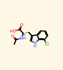 CC(=O)N[C@@H](Cc1c[nH]c2c(Cl)cccc12)C(=O)O